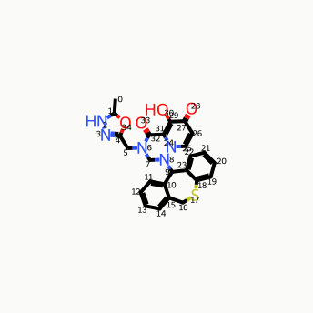 CC1NN=C(CN2CN(C3c4ccccc4CSc4ccccc43)n3ccc(=O)c(O)c3C2=O)O1